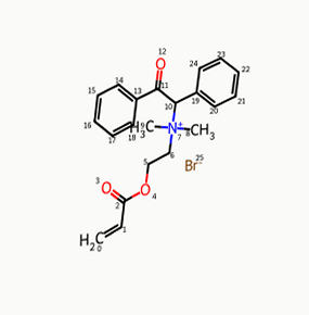 C=CC(=O)OCC[N+](C)(C)C(C(=O)c1ccccc1)c1ccccc1.[Br-]